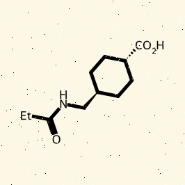 CCC(=O)NC[C@H]1CC[C@H](C(=O)O)CC1